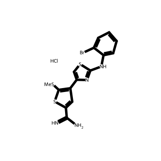 CSc1sc(C(=N)N)cc1-c1csc(Nc2ccccc2Br)n1.Cl